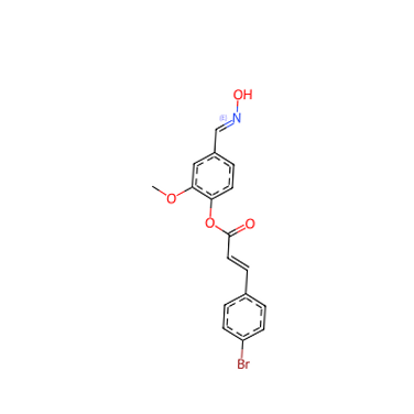 COc1cc(/C=N/O)ccc1OC(=O)C=Cc1ccc(Br)cc1